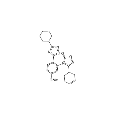 COc1ccc(-c2nc(C3CC=CCC3)no2)c(-n2c(C3CC=CCC3)noc2=O)c1